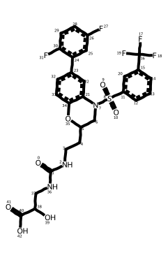 O=C(NCCC1CN(S(=O)(=O)c2cccc(C(F)(F)F)c2)c2cc(-c3cc(F)ccc3F)ccc2O1)NCC(O)C(=O)O